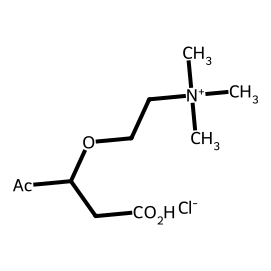 CC(=O)C(CC(=O)O)OCC[N+](C)(C)C.[Cl-]